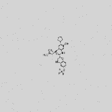 CN(C)CC#Cc1cc(C2CCCC2)c(O)cc1NC(=O)C1CNc2cc(OC(F)(F)F)ccc2O1